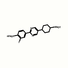 CCCCCCCc1ccc(-c2ncc(C3CCC(CCCCCCC)CC3)cn2)cc1F